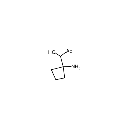 CC(=O)C(O)C1(N)CCC1